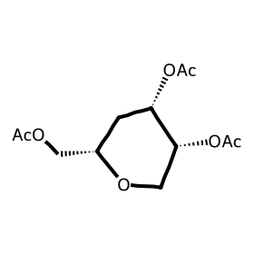 CC(=O)OC[C@@H]1C[C@H](OC(C)=O)[C@H](OC(C)=O)CO1